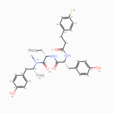 COC[C@H](NC(=O)[C@@H](Cc1ccc(O)cc1)NC(=O)CCc1ccc(F)cc1)C(=O)N(C)[C@H]([C]=O)Cc1ccc(O)cc1